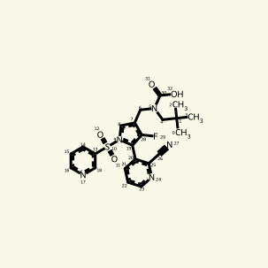 CC(C)(C)CN(Cc1cn(S(=O)(=O)c2cccnc2)c(-c2cccnc2C#N)c1F)C(=O)O